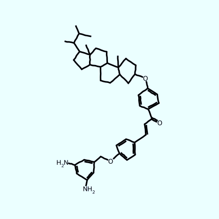 CC(C)C(C)C1CCC2C3CCC4CC(Oc5ccc(C(=O)/C=C/c6ccc(OCc7cc(N)cc(N)c7)cc6)cc5)CCC4(C)C3CCC12C